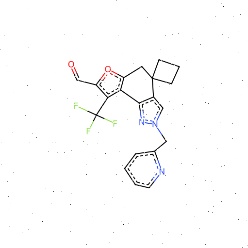 O=Cc1oc2c(c1C(F)(F)F)-c1nn(Cc3ccccn3)cc1C1(CCC1)C2